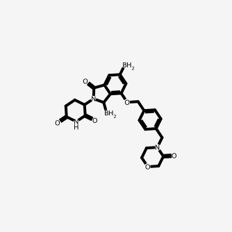 Bc1cc(OCc2ccc(CN3CCOCC3=O)cc2)c2c(c1)C(=O)N(C1CCC(=O)NC1=O)C2B